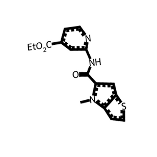 CCOC(=O)c1ccnc(NC(=O)c2cc3sccc3n2C)c1